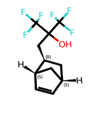 OC(C[C@H]1C[C@@H]2C=C[C@H]1C2)(C(F)(F)F)C(F)(F)F